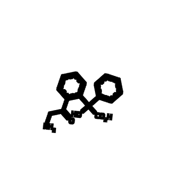 NCC(=O)c1ccccc1C(O)(C(=O)O)c1ccccc1